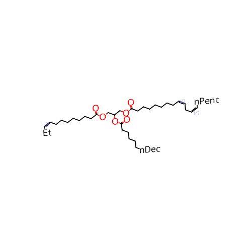 CC/C=C\CCCCCCCC(=O)OCC(COC(=O)CCCCCCC/C=C\C/C=C\CCCCC)OC(=O)CCCCCCCCCCCCCCC